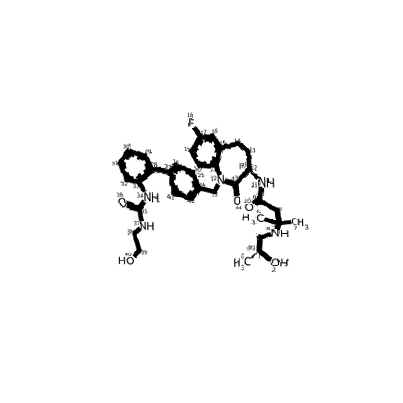 C[C@@H](O)CNC(C)(C)CC(=O)N[C@@H]1CCc2cc(F)ccc2N(Cc2ccc(-c3ccccc3NC(=O)NCCO)cc2)C1=O